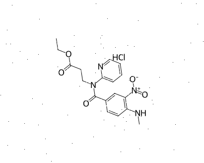 CCOC(=O)CCN(C(=O)c1ccc(NC)c([N+](=O)[O-])c1)c1ccccn1.Cl